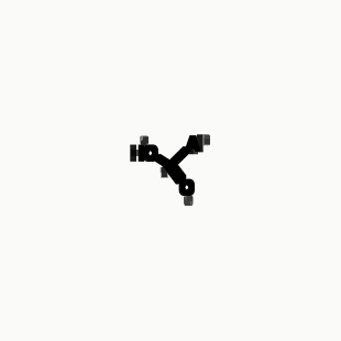 O=[C](O)[Al]